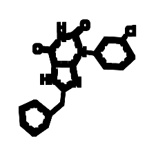 O=c1[nH]c(=O)n(-c2cccc(Cl)c2)c2nc(Cc3ccccc3)[nH]c12